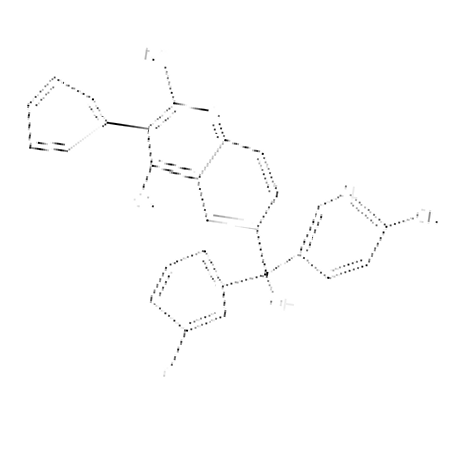 N#Cc1ccc(C(O)(c2cccc(Cl)c2)c2ccc3nc(C#N)c(-c4ccccc4)c(C#N)c3c2)cn1